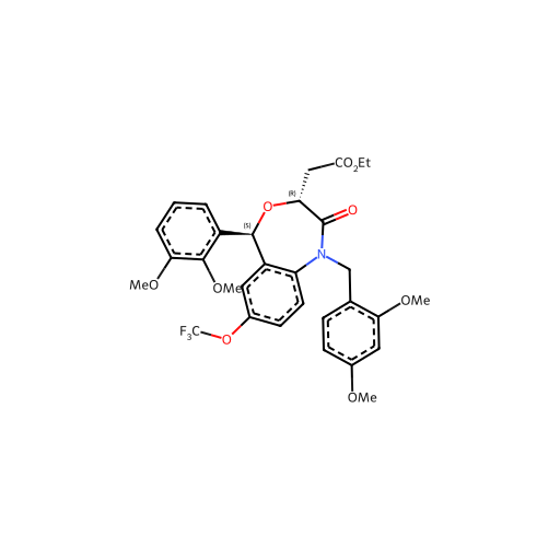 CCOC(=O)C[C@H]1O[C@H](c2cccc(OC)c2OC)c2cc(OC(F)(F)F)ccc2N(Cc2ccc(OC)cc2OC)C1=O